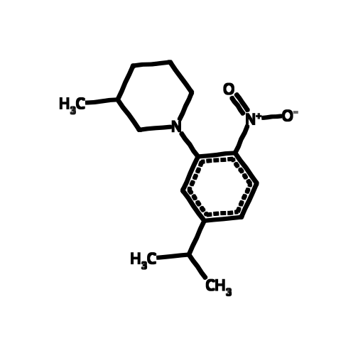 CC1CCCN(c2cc(C(C)C)ccc2[N+](=O)[O-])C1